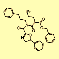 CC(C)CCN(C(=O)OCc1ccccc1)C(=O)N(CCCc1ccccc1)C(=O)C1=NCC(c2ccccc2)O1